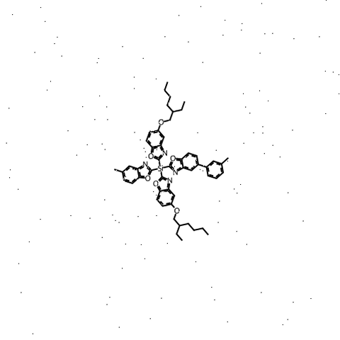 CCCCC(CC)COc1ccc2oc([Si](c3nc4cc(C)ccc4o3)(c3nc4cc(OCC(CC)CCCC)ccc4o3)c3nc4cc(-c5cccc(C)c5)ccc4o3)nc2c1